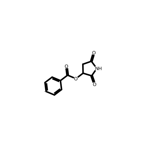 O=C1CC(OC(=O)c2cc[c]cc2)C(=O)N1